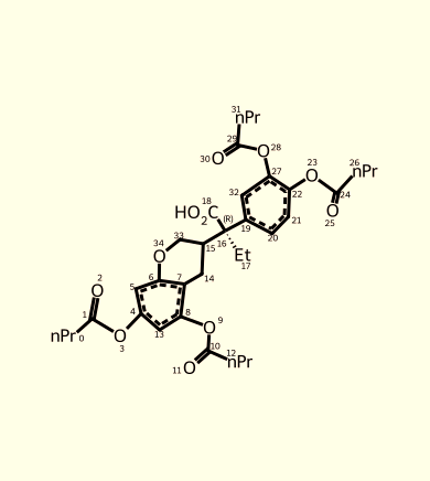 CCCC(=O)Oc1cc2c(c(OC(=O)CCC)c1)CC([C@@](CC)(C(=O)O)c1ccc(OC(=O)CCC)c(OC(=O)CCC)c1)CO2